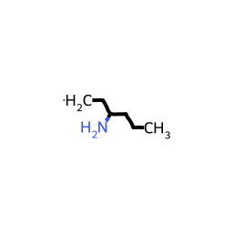 [CH2]CC(N)CCC